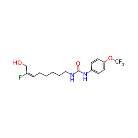 O=C(NCCCCC/C=C(/F)CO)Nc1ccc(OC(F)(F)F)cc1